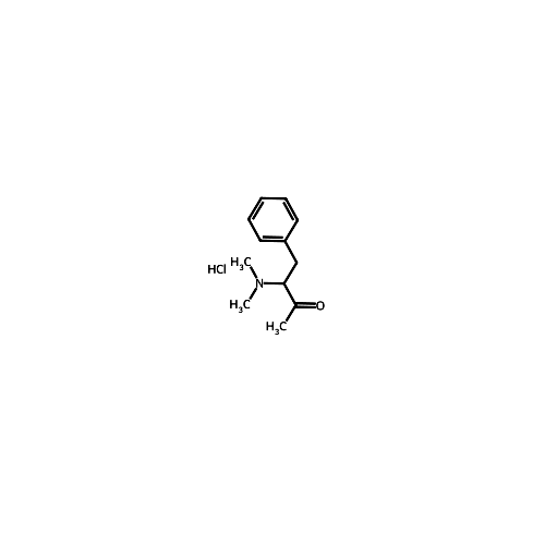 CC(=O)C(Cc1ccccc1)N(C)C.Cl